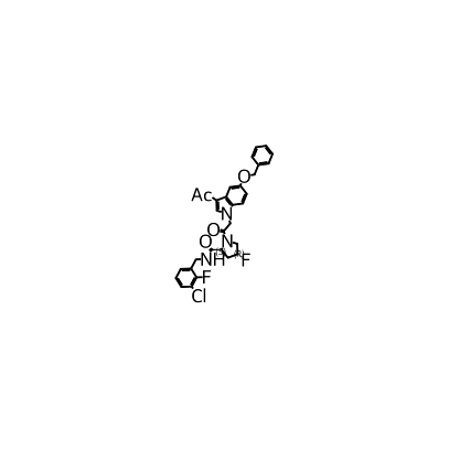 CC(=O)c1cn(CC(=O)N2C[C@H](F)C[C@H]2C(=O)NCc2cccc(Cl)c2F)c2ccc(OCc3ccccc3)cc12